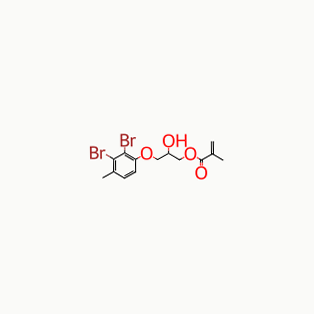 C=C(C)C(=O)OCC(O)COc1ccc(C)c(Br)c1Br